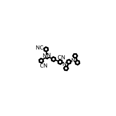 N#Cc1cccc(-c2cc(-c3ccc(-c4ccc(-n5c6ccccc6c6cc(-n7c8ccccc8c8ccccc87)ccc65)cc4C#N)cc3)nc(-c3cccc(C#N)c3)n2)c1